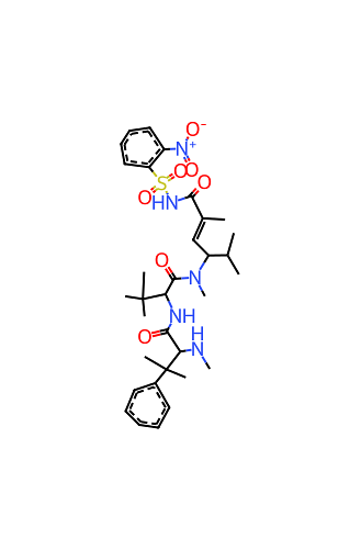 CNC(C(=O)NC(C(=O)N(C)C(C=C(C)C(=O)NS(=O)(=O)c1ccccc1[N+](=O)[O-])C(C)C)C(C)(C)C)C(C)(C)c1ccccc1